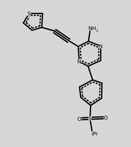 CC(C)S(=O)(=O)c1ccc(-c2cnc(N)c(C#Cc3ccsc3)n2)cc1